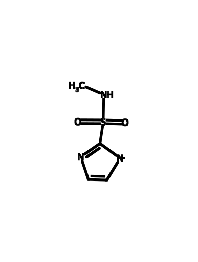 CNS(=O)(=O)C1=NC=C[N]1